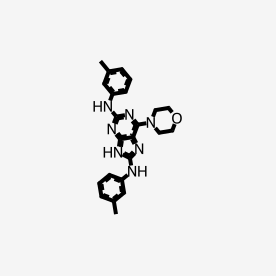 Cc1cccc(Nc2nc(N3CCOCC3)c3nc(Nc4cccc(C)c4)[nH]c3n2)c1